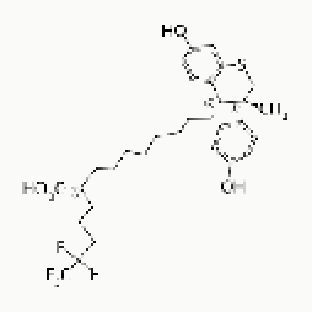 C[C@]1(c2ccc(O)cc2)CSc2cc(O)ccc2[C@H]1CCCCCCCC[C@H](CCCC(F)(F)C(F)(F)F)C(=O)O